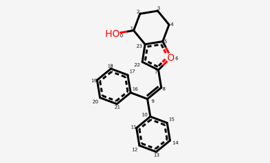 OC1CCCc2oc(C=C(c3ccccc3)c3ccccc3)cc21